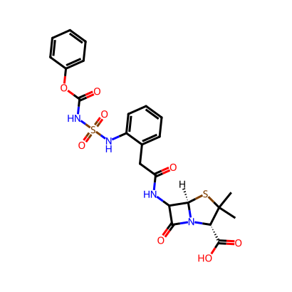 CC1(C)S[C@@H]2C(NC(=O)Cc3ccccc3NS(=O)(=O)NC(=O)Oc3ccccc3)C(=O)N2[C@H]1C(=O)O